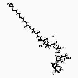 CCCCCCCCCCCC(=O)SCCNC(=O)CCNC(=O)[C@H](O)C(C)(C)COP(=O)([O-])OP(=O)(O)OC[C@H]1O[C@@H](n2cnc3c(N)ncnc32)[C@H](O)[C@@H]1OP(=O)(O)O.[Li+]